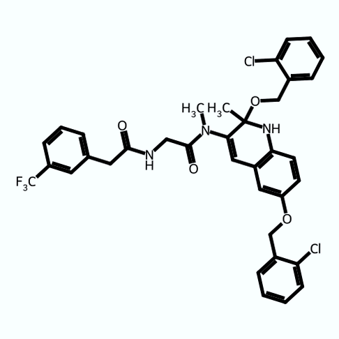 CN(C(=O)CNC(=O)Cc1cccc(C(F)(F)F)c1)C1=Cc2cc(OCc3ccccc3Cl)ccc2NC1(C)OCc1ccccc1Cl